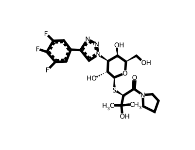 CC(C)(O)[C@@H](S[C@@H]1O[C@H](CO)[C@H](O)[C@H](n2cc(-c3cc(F)c(F)c(F)c3)nn2)[C@H]1O)C(=O)N1CCCC1